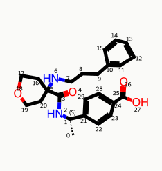 C[C@H](NC(=O)C1(NCCCc2ccccc2)CCOCC1)c1ccc(C(=O)O)cc1